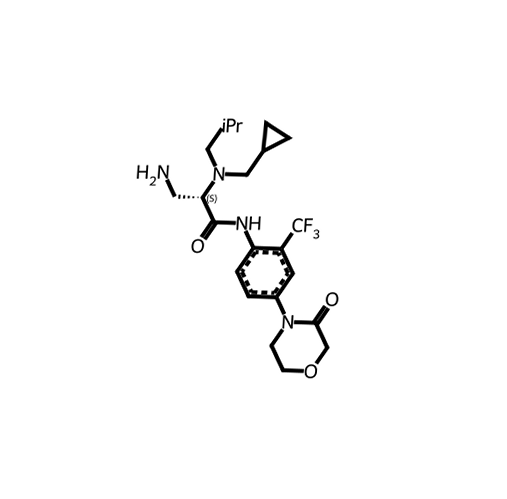 CC(C)CN(CC1CC1)[C@@H](CN)C(=O)Nc1ccc(N2CCOCC2=O)cc1C(F)(F)F